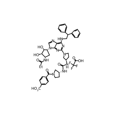 CCC(=O)N[C@H]1C[C@@H](n2cnc3c(NCC(c4ccccc4)c4ccccc4)nc(N4CC[C@@H](NC(=O)N[C@@H]5CCN(C(=O)c6ccc(C(=O)O)cc6)C5)C4)nc32)[C@H](O)[C@@H]1O.O=C(O)C(F)(F)F